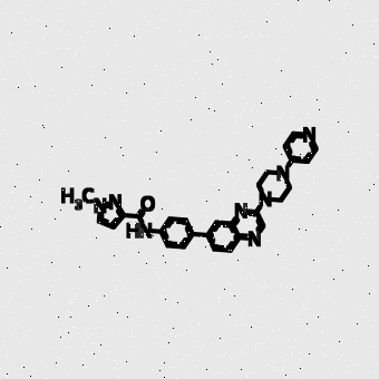 Cn1ccc(C(=O)Nc2ccc(-c3ccc4ncc(N5CCN(c6ccncc6)CC5)nc4c3)cc2)n1